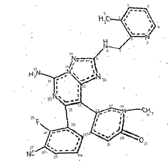 Cc1cccnc1CNc1nc2c(-c3ccc(=O)n(C)c3)c(-c3cccc(C#N)c3F)nc(N)n2n1